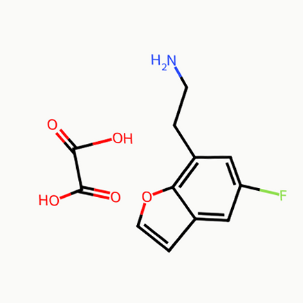 NCCc1cc(F)cc2ccoc12.O=C(O)C(=O)O